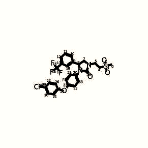 CS(=O)(=O)CCN1CC(c2cccc(C(F)(F)F)c2)N(c2ccc(Oc3ccc(Cl)cc3)cc2)C1=O